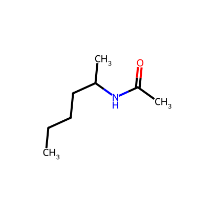 CCCCC(C)NC(C)=O